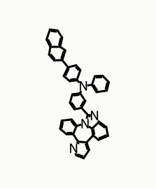 c1ccc(N(c2ccc(-c3ccc4ccccc4c3)cc2)c2cccc(-c3nc4cccc5c4n3-c3ccccc3-c3ncccc3-5)c2)cc1